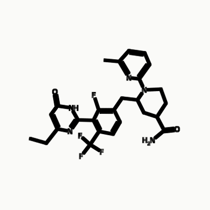 CCc1cc(=O)[nH]c(-c2c(C(F)(F)F)ccc(CC3CC(C(N)=O)CCN3c3cccc(C)n3)c2F)n1